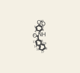 O=C(Nc1ccc2c(c1)OCO2)c1ccc2ccccc2c1